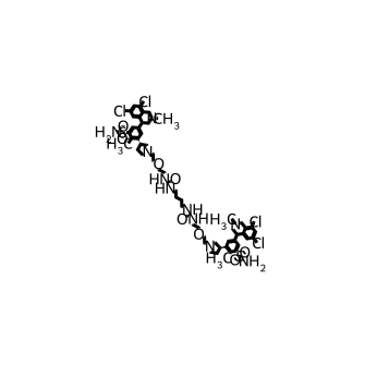 Cc1c([C@H]2CCN(CCOCCNC(=O)NCCCCNC(=O)NCCOCCN3CC[C@H](c4cc(C5CN(C)Cc6c(Cl)cc(Cl)cc65)cc(S(N)(=O)=O)c4C)C3)C2)cc(C2CN(C)Cc3c(Cl)cc(Cl)cc32)cc1S(N)(=O)=O